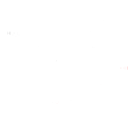 O=C(O)CCCCCCC1C(=O)CCC1SCC(O)c1ccccc1